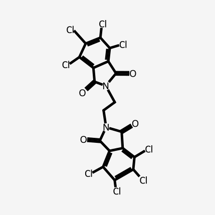 O=C1c2c(Cl)c(Cl)c(Cl)c(Cl)c2C(=O)N1CCN1C(=O)c2c(Cl)c(Cl)c(Cl)c(Cl)c2C1=O